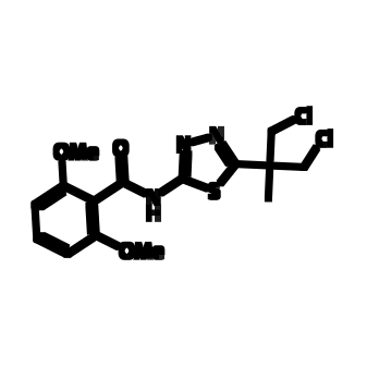 COc1cccc(OC)c1C(=O)Nc1nnc(C(C)(CCl)CCl)s1